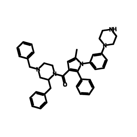 Cc1cc(C(=O)N2CCN(Cc3ccccc3)CC2Cc2ccccc2)c(-c2ccccc2)n1-c1cccc(N2CCNCC2)c1